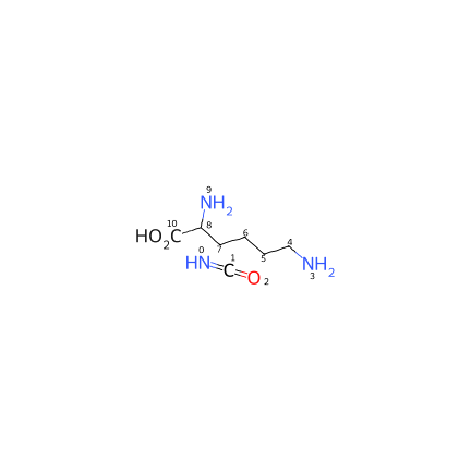 N=C=O.NCCCCC(N)C(=O)O